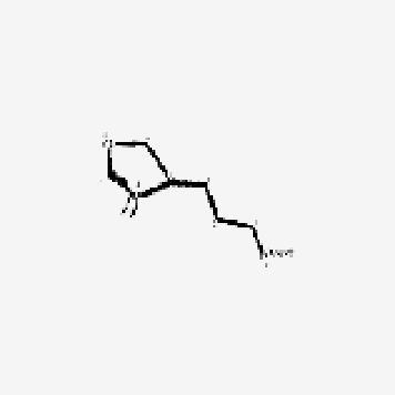 CCCCCCCCC1COCN1